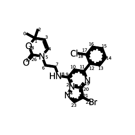 CC1(C)C=CN(CCNc2cc(-c3ccccc3Cl)nc3c(Br)cnn23)C(=O)O1